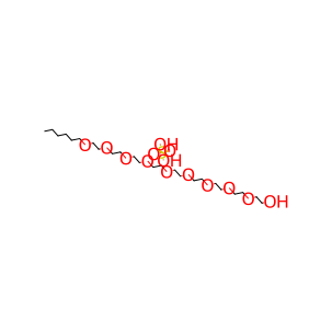 CCCCCCOCCOCCOCCOCCOCCOCCOCCOCCOCCO.O=S(=O)(O)O